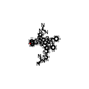 N#CC(C#N)=Nc1ccc(C2=CC3=C(c4sc5c(sc6cc(-c7ccc(N=C(C#N)C#N)s7)sc65)c4C3(C(=O)OCc3ccccc3)C(=O)OCc3ccccc3)C2(C(=O)OCc2ccccc2)C(=O)OCc2ccccc2)s1